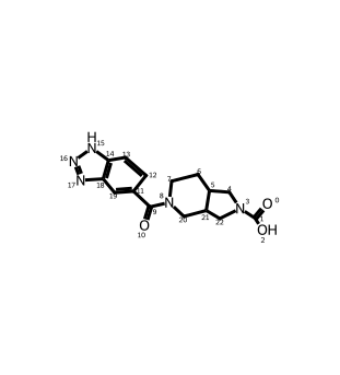 O=C(O)N1CC2CCN(C(=O)c3ccc4[nH]nnc4c3)CC2C1